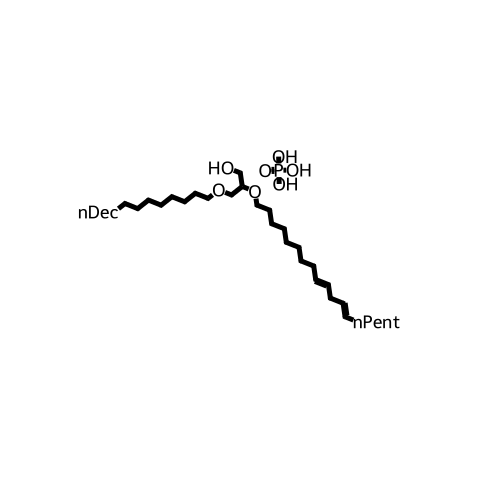 CCCCCC=CCC=CCCCCCCCCOC(CO)COCCCCCCCCCCCCCCCCCC.O=P(O)(O)O